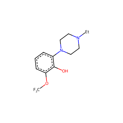 CCN1CCN(c2cccc(OC(F)(F)F)c2O)CC1